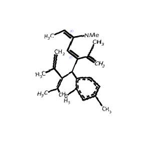 C=C(C)C(=C(C)C)C(/C(=C/C(=C\C)NC)C(=C)C)c1ccc(C)cc1C